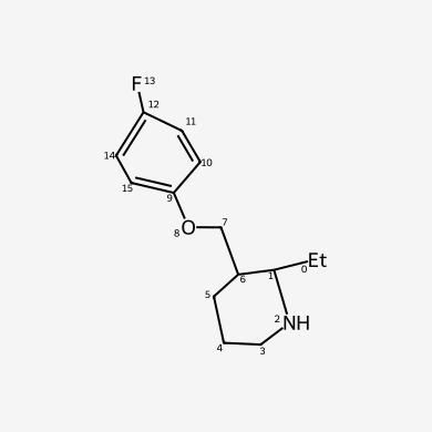 CCC1NCCCC1COc1ccc(F)cc1